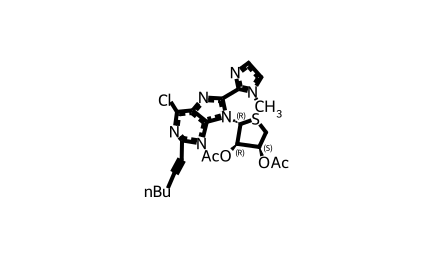 CCCCC#Cc1nc(Cl)c2nc(-c3nccn3C)n([C@@H]3SC[C@@H](OC(C)=O)[C@H]3OC(C)=O)c2n1